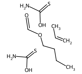 C=CC.CCCCOC=O.NC(O)=S.NC(O)=S